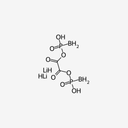 BP(=O)(O)OC(=O)C(=O)OP(B)(=O)O.[LiH].[LiH]